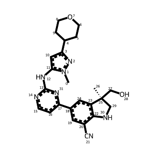 Cn1nc(C2CCOCC2)cc1Nc1nccc(-c2cc(C#N)c3c(c2)[C@@](C)(CO)CN3)n1